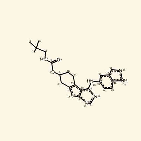 CC(C)(C)CNC(=O)OC1CCc2c(sc3ncnc(Nc4ccc5[nH]ncc5c4)c23)C1